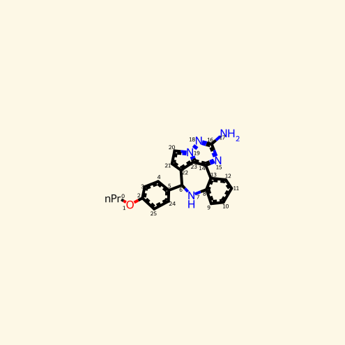 CCCOc1ccc(C2Nc3ccccc3-c3nc(N)nn4ccc2c34)cc1